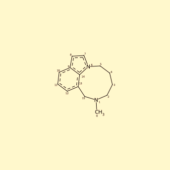 CN1CCCCn2ccc3cccc(c32)C1